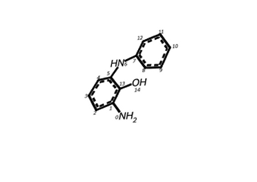 Nc1cccc(Nc2ccccc2)c1O